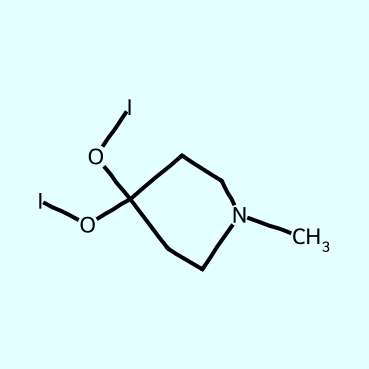 CN1CCC(OI)(OI)CC1